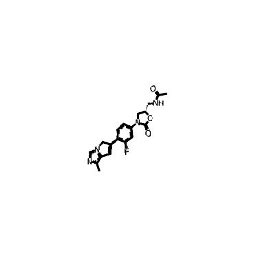 CC(=O)NC[C@H]1CN(c2ccc(C3=Cc4c(C)ncn4C3)c(F)c2)C(=O)O1